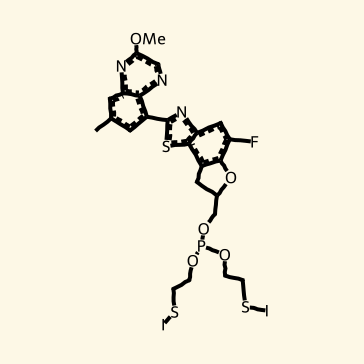 COc1cnc2c(-c3nc4cc(F)c5c(c4s3)CC(COP(OCCSI)OCCSI)O5)cc(C)cc2n1